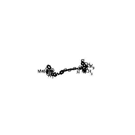 CN[C@@H](C)C(=O)N[C@H](C(=O)N1CCC2CCN(CCc3ccc(OCCOCCOCCNC(=O)C[C@@H]4N=C(c5ccc(Cl)cc5)c5c(sc(C)c5C)-n5c(C)nnc54)cc3)CC21)C1CCCCC1